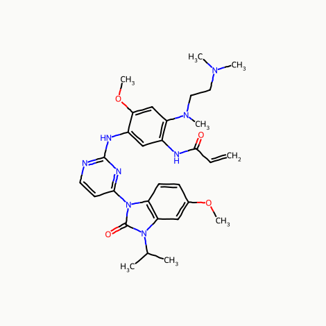 C=CC(=O)Nc1cc(Nc2nccc(-n3c(=O)n(C(C)C)c4cc(OC)ccc43)n2)c(OC)cc1N(C)CCN(C)C